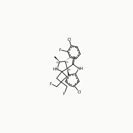 C[C@@H]1NC2(CC(CF)(CF)C2)[C@@]2(C(=O)Nc3cc(Cl)ccc32)[C@H]1c1cccc(Cl)c1F